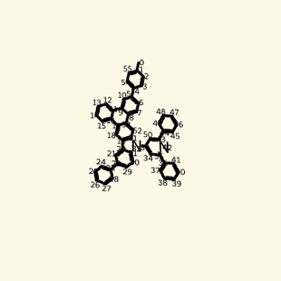 Cc1ccc(-c2ccc3c(c2)c2ccccc2c2cc4c5cc(-c6ccccc6)ccc5n(-c5cc(-c6ccccc6)nc(-c6ccccc6)c5)c4cc32)cc1